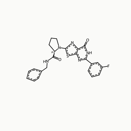 O=C(NCc1ccccc1)[C@H]1CCCN1c1nc2c(=O)[nH]c(-c3cccc(F)c3)nc2s1